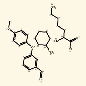 COc1ccc(Oc2cccc(C=O)c2)cc1.NC1CCCCC1.NCCCCC(N)C(=O)O